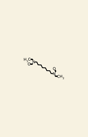 C=CN(C=O)CCCCCCCCN(C=C)C=O